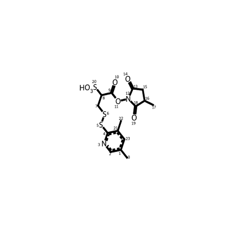 Cc1cnc(SSCC(C(=O)ON2C(=O)CC(C)C2=O)S(=O)(=O)O)c(C)c1